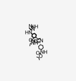 CCNS(=O)(=O)c1cc(Nc2cn[nH]n2)ccc1-c1cnc([C@H]2CC[C@H](NC(=O)OC(C)C)CC2)s1